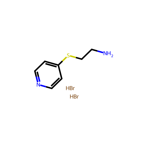 Br.Br.NCCSc1ccncc1